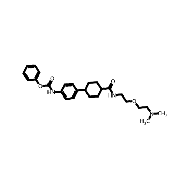 CN(C)CCOCCNC(=O)C1CCC(c2ccc(NC(=O)Oc3ccccc3)cc2)CC1